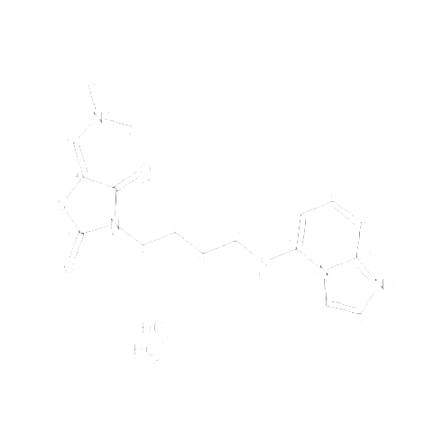 CN(C)C=C1SC(=O)N(CCCCSc2cccc3nccn23)C1=O.Cl.Cl